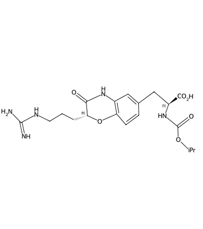 CC(C)OC(=O)N[C@@H](Cc1ccc2c(c1)NC(=O)[C@@H](CCCNC(=N)N)O2)C(=O)O